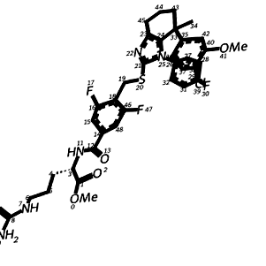 COC(=O)[C@H](CCCNC(=N)N)NC(=O)c1cc(F)c(CSc2nc3c(n2-c2ccc(F)cc2)C(C)(c2ccc(Cl)c(OC)c2)CCC3)c(F)c1